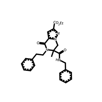 CCOC(=O)c1cc2n(n1)CC(C)(C(=O)NCc1ccccc1)N(CCc1ccccc1)C2=O